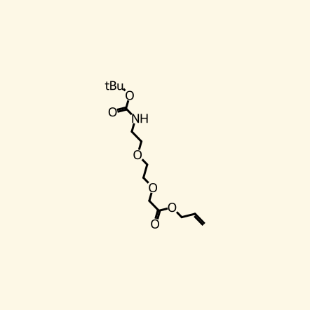 C=CCOC(=O)COCCOCCNC(=O)OC(C)(C)C